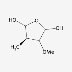 COC1C(O)OC(O)[C@@H]1C